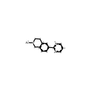 CC(=O)N1CCc2cc(-c3ncccn3)ccc2C1